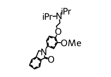 COc1cc(N2Cc3ccccc3C2=O)ccc1OCCN(C(C)C)C(C)C